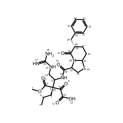 CCC[C@](C(=O)OC)(C(=O)C(=O)O)C(CNC(=N)N)NC(=O)C1CSC2CC[C@@H](Cc3ccccc3)C(=O)N21